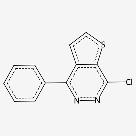 Clc1nnc(-c2ccccc2)c2ccsc12